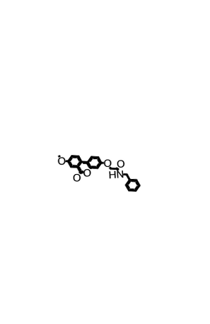 COc1ccc2c(c1)c(=O)oc1cc(OCC(=O)NCc3ccccc3)ccc12